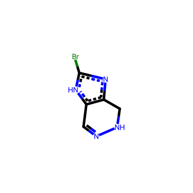 Brc1nc2c([nH]1)C=NNC2